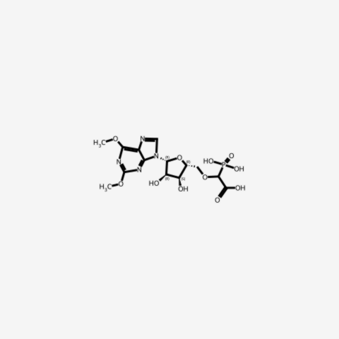 COc1nc(OC)c2ncn([C@@H]3O[C@H](COC(C(=O)O)P(=O)(O)O)[C@@H](O)[C@H]3O)c2n1